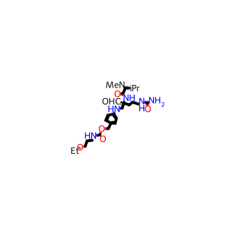 CCOCCCNC(=O)OCc1ccc(NC[C@@](C=O)(CCCNC(N)=O)NC(=O)[C@@H](NC)C(C)C)cc1